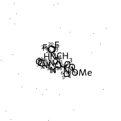 COC(=O)[C@@H]1CCCN1C(=O)c1cc(C(C)Nc2cc(F)cc(F)c2)c2nc(N3CCOCC3)cnc2c1